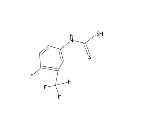 Fc1ccc(NC(=S)S)cc1C(F)(F)F